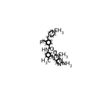 Cc1ccc(NC(=O)c2ccc(CN3CCN(C)CC3)c(CF)c2)cc1N1Cc2cnc(N)nc2N(C)C1=O